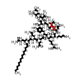 CCCCCCCCCCCCCCCC(=O)N[C@@H](CCCNC(=N)N)C(=O)N[C@@H](CCC(N)=O)C(=O)N[C@@H](CCC(N)=O)C(=O)N[C@@H](Cc1ccc(O)cc1)C(=O)N[C@@H](CCCNC(=N)N)C(=O)N[C@@H](CCCCN)C(=O)N[C@@H](CC(C)C)C(=O)N[C@@H](CC(C)C)C(=O)N[C@@H](CCCCN)C(=O)N[C@@H](CO)C(=O)N[C@H](C(=O)N[C@@H](CC(C)C)C(N)=O)[C@@H](C)O